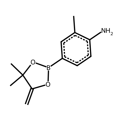 C=C1OB(c2ccc(N)c(C)c2)OC1(C)C